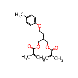 C=C(C)C(=O)OCC(CCOc1ccc(C)cc1)COC(=O)C(=C)C